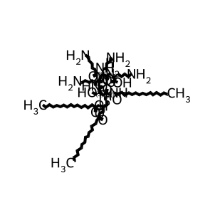 CCCCCCCCCCCCCCCC(=O)N[C@@H](CSCC(COC(=O)CCCCCCCCCCCCCCC)OC(=O)CCCCCCCCCCCCCCC)C(=O)N[C@@H](CO)C(=O)N[C@@H](CCCCN)C(=O)N(C(=O)C(N)CCCCN)[C@@H](CCCCN)C(=O)N[C@@H](CCCCN)C(=O)O